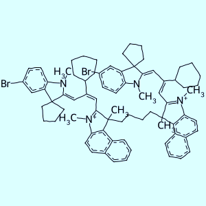 CN1C(=CC(=CC2=[N+](C)c3ccc4ccccc4c3C2(C)CCCCC2(C)C(C=C(C=C3N(C)c4ccc(Br)cc4C34CCCC4)C3CCCCC3)=[N+](C)c3ccc4ccccc4c32)C2CCCCC2)C2(CCCC2)c2cc(Br)ccc21